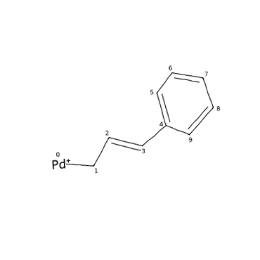 [Pd+][CH2]C=Cc1ccccc1